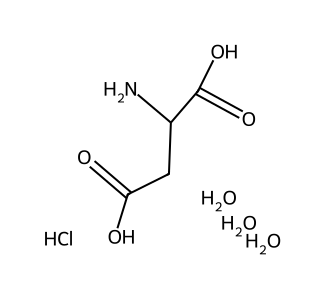 Cl.NC(CC(=O)O)C(=O)O.O.O.O